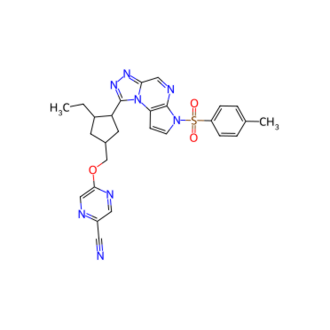 CCC1CC(COc2cnc(C#N)cn2)CC1c1nnc2cnc3c(ccn3S(=O)(=O)c3ccc(C)cc3)n12